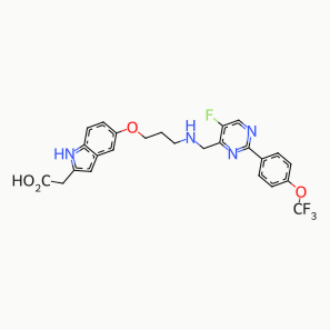 O=C(O)Cc1cc2cc(OCCCNCc3nc(-c4ccc(OC(F)(F)F)cc4)ncc3F)ccc2[nH]1